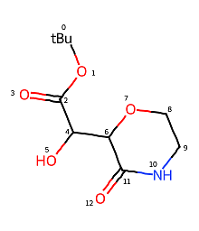 CC(C)(C)OC(=O)C(O)C1OCCNC1=O